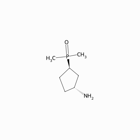 CP(C)(=O)[C@@H]1CC[C@@H](N)C1